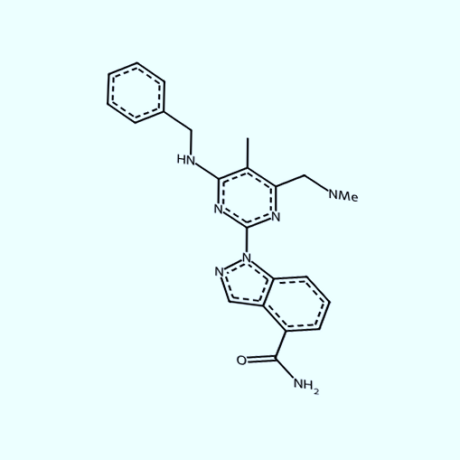 CNCc1nc(-n2ncc3c(C(N)=O)cccc32)nc(NCc2ccccc2)c1C